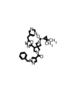 CC1(C)C[C@@H]1C(=O)N1CC2(CN(C(=O)c3cnn(Cc4ccccc4)c3)CC2c2nnc(Cc3cncnc3)o2)C1